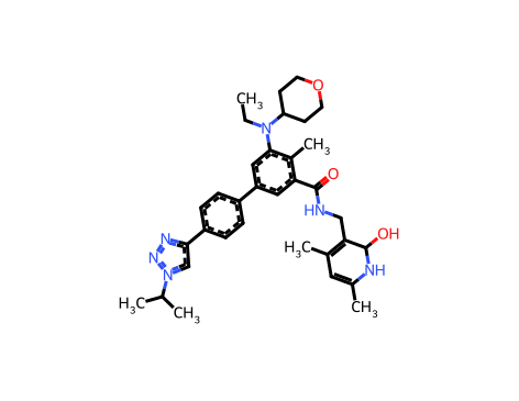 CCN(c1cc(-c2ccc(-c3cn(C(C)C)nn3)cc2)cc(C(=O)NCC2=C(C)C=C(C)NC2O)c1C)C1CCOCC1